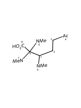 CNC(CCC(C)=O)C(NC)(NC)C(=O)O